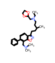 CCN(CCC(C)CCc1noc2c(CN(C)C)c(-c3ccccc3)ccc12)CC1OCCO1